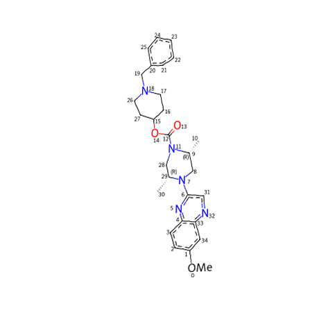 COc1ccc2nc(N3C[C@@H](C)N(C(=O)OC4CCN(Cc5ccccc5)CC4)C[C@H]3C)cnc2c1